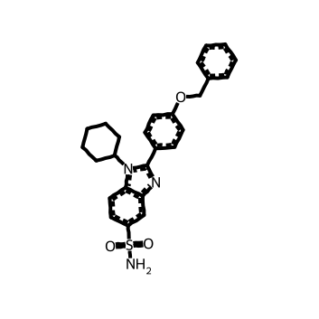 NS(=O)(=O)c1ccc2c(c1)nc(-c1ccc(OCc3ccccc3)cc1)n2C1CCCCC1